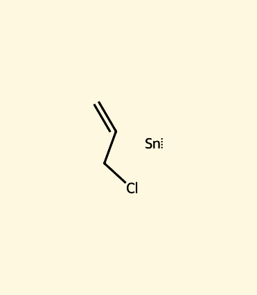 C=CCCl.[Sn]